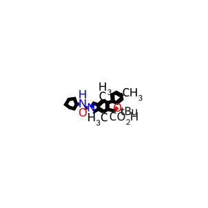 Cc1ccc(-c2c(C)c3c(c(C)c2C(OC(C)(C)C)C(=O)O)CN(C(=O)NC2CCCCC2)C3)cc1